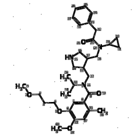 COCCCOc1cc(C(=O)N(CC2CNCC2CN(C(=O)Cc2ccccc2)C2CC2)C(C)C)c(C)cc1OC